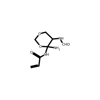 C=CC(=O)NC1(N)OCOCC1NC=O